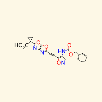 O=C(Nc1cnoc1C#Cc1nc2nc(C3(C(=O)O)CC3)oc2o1)OCc1ccccc1